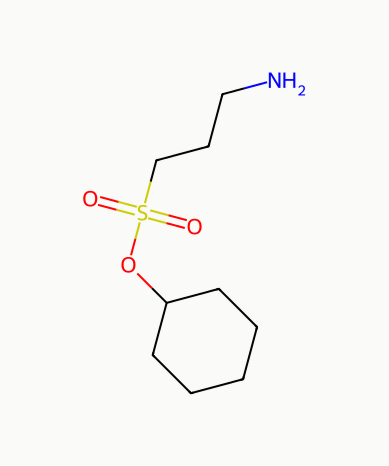 NCCCS(=O)(=O)OC1CCCCC1